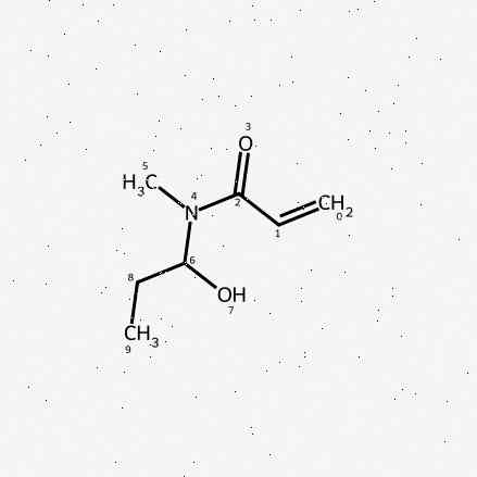 C=CC(=O)N(C)C(O)CC